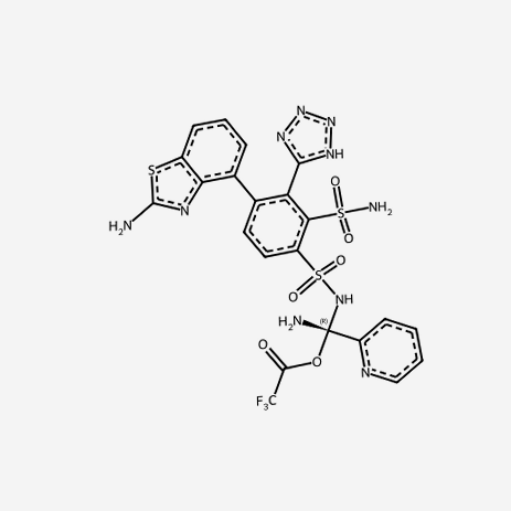 Nc1nc2c(-c3ccc(S(=O)(=O)N[C@@](N)(OC(=O)C(F)(F)F)c4ccccn4)c(S(N)(=O)=O)c3-c3nnn[nH]3)cccc2s1